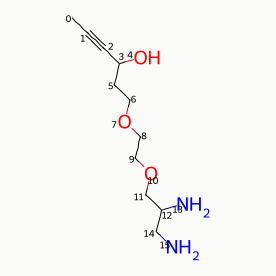 CC#CC(O)CCOCCOCC(N)CN